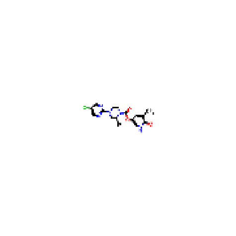 CC(C)C1CN(c2ncc(Cl)cn2)CCN1C(=O)Oc1c[nH]c(=O)c(C(F)(F)F)c1